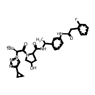 CC(NC(=O)C1CC(O)CN1C(=O)[C@@H](n1cc(C2CC2)nn1)C(C)(C)C)c1cccc(NC(=O)Cc2ccccc2F)c1